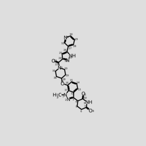 Cn1nc(C2CCC(=O)NC2=O)c2cccc(OC3CCN(C(=O)c4cc(-c5cccnc5)[nH]n4)CC3)c21